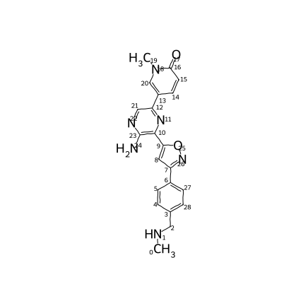 CNCc1ccc(-c2cc(-c3nc(-c4ccc(=O)n(C)c4)cnc3N)on2)cc1